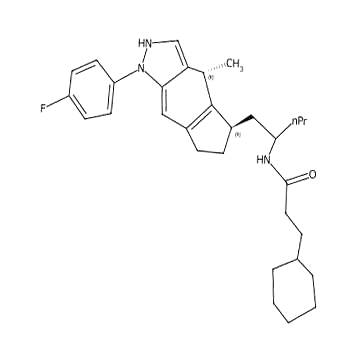 CCCC(C[C@H]1CCC2=C1[C@@H](C)C1=CNN(c3ccc(F)cc3)C1=C2)NC(=O)CCC1CCCCC1